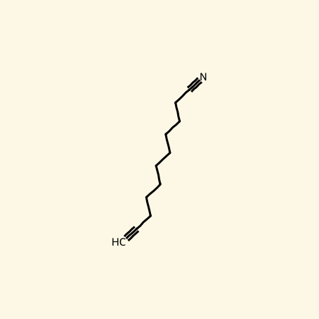 C#CCCCCCCCCC#N